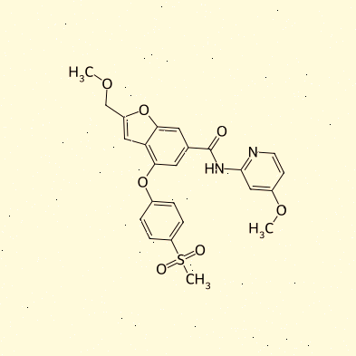 COCc1cc2c(Oc3ccc(S(C)(=O)=O)cc3)cc(C(=O)Nc3cc(OC)ccn3)cc2o1